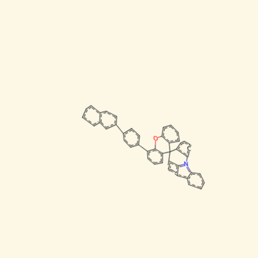 c1ccc2c(c1)Oc1c(-c3ccc(-c4ccc5ccccc5c4)cc3)cccc1C21c2ccccc2-n2c3ccccc3c3cccc1c32